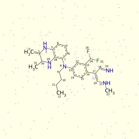 C=C1Nc2cccc(N(CCCC)c3ccc(/C(C=N)=C/NC)c(C(F)F)c3)c2NC1C